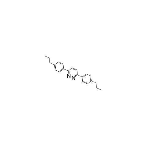 CCCc1ccc(-c2ccc(-c3ccc(CCC)cc3)nn2)cc1